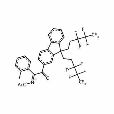 CC(=O)O/N=C(/C(=O)c1ccc2c(c1)C(CCC(F)(F)C(F)(F)C(F)(F)F)(CCC(F)(F)C(F)(F)C(F)(F)F)c1ccccc1-2)c1ccccc1C